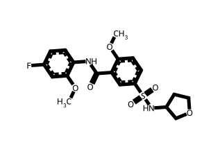 COc1cc(F)ccc1NC(=O)c1cc(S(=O)(=O)NC2CCOC2)ccc1OC